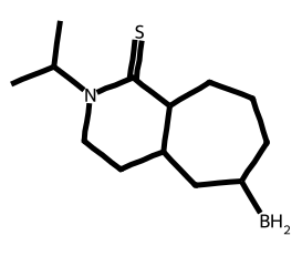 BC1CCCC2C(=S)N(C(C)C)CCC2C1